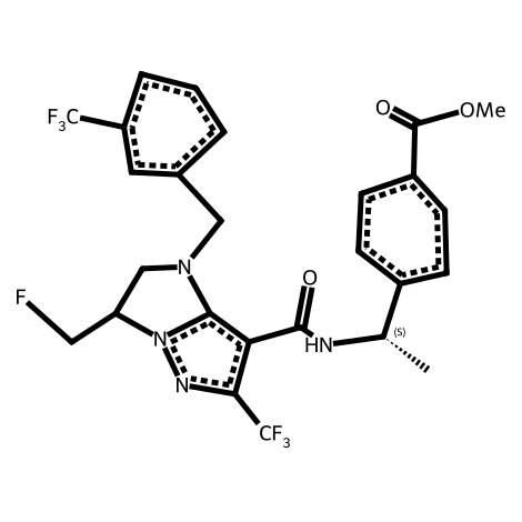 COC(=O)c1ccc([C@H](C)NC(=O)c2c(C(F)(F)F)nn3c2N(Cc2cccc(C(F)(F)F)c2)CC3CF)cc1